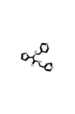 O=C(NCc1ccncc1)C(NCc1ccncc1)c1cccs1